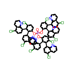 O=P(Oc1ccc(Cl)c(-c2ccc(Cl)c3cccnc23)c1-c1ccc(Cl)c2cccnc12)(Oc1ccc(Cl)c(-c2ccc(Cl)c3cccnc23)c1-c1ccc(Cl)c2cccnc12)Oc1ccc(Cl)c(-c2ccc(Cl)c3cccnc23)c1-c1ccc(Cl)c2cccnc12